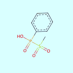 CS(=O)(=O)P(=O)(O)c1ccccc1